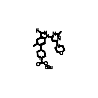 Cc1nc(N2CCOCC2)cc(-n2nc(F)c3cc(C)c(C4CCN(C(=O)OC(C)(C)C)CC4)cc32)n1